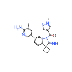 Cc1cc(-c2ccc(C3(C(=N)NC(=O)c4cnn(C)c4)CCC3)cc2)cnc1N